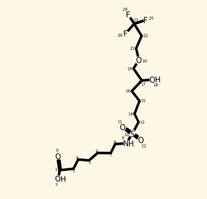 O=C(O)CCCCCCNS(=O)(=O)CCCCC(O)COCCC(F)(F)F